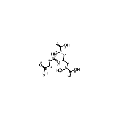 C=C(O)[C@H](CCC[C@H](N)C(=C)O)NC(=O)CCC(=O)O